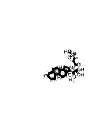 C[C@]12CC[C@H]3[C@@H](CCC4=CC(=O)C=C[C@@]43C)[C@@H]1CC[C@@H]2C(=O)C(O)(O)OC(=O)CCS(=O)(=O)O